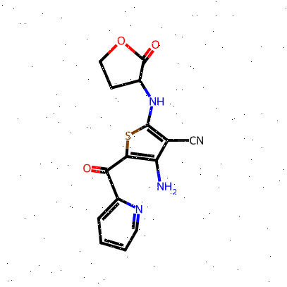 N#Cc1c(NC2CCOC2=O)sc(C(=O)c2ccccn2)c1N